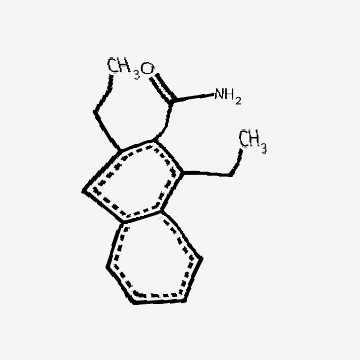 CCc1cc2ccccc2c(CC)c1C(N)=O